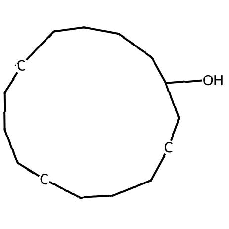 OC1CCCC[CH]CCCCCCCCC1